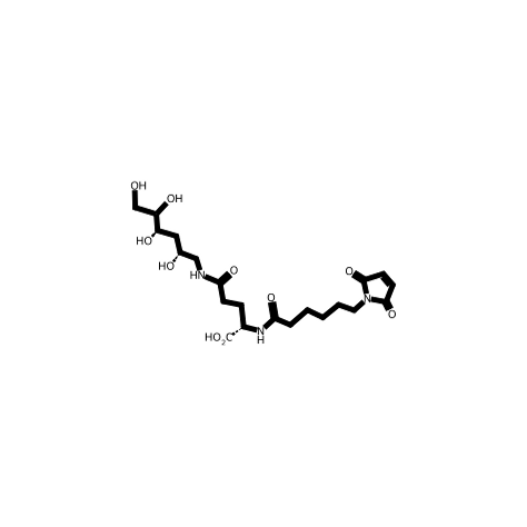 O=C(CC[C@H](NC(=O)CCCCCN1C(=O)C=CC1=O)C(=O)O)NC[C@H](O)C[C@H](O)C(O)CO